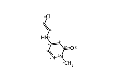 Cn1ncc(NC=CCl)cc1=O